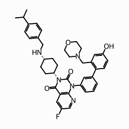 CC(C)c1ccc(CN[C@H]2CC[C@@H](n3c(=O)c4cc(F)cnc4n(-c4cccc(-c5ccc(O)cc5CN5CCOCC5)c4)c3=O)CC2)cc1